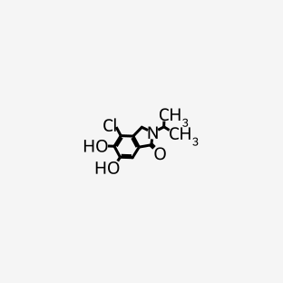 CC(C)N1Cc2c(cc(O)c(O)c2Cl)C1=O